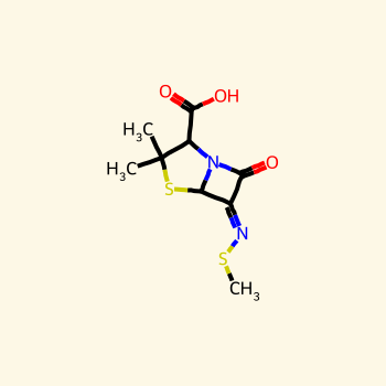 CS/N=C1/C(=O)N2C1SC(C)(C)C2C(=O)O